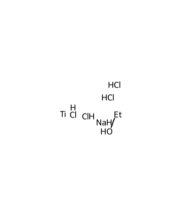 CCO.Cl.Cl.Cl.Cl.[NaH].[Ti]